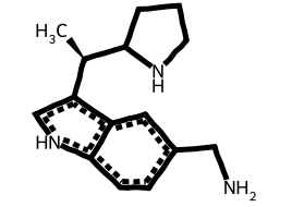 C[C@H](c1c[nH]c2ccc(CN)cc12)C1CCCN1